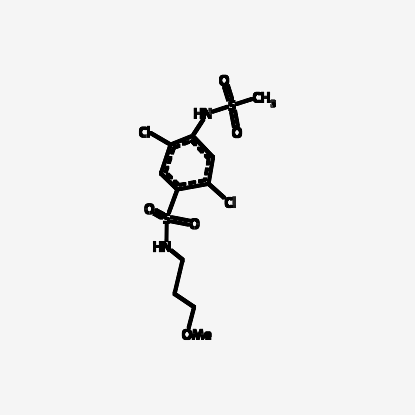 COCCCNS(=O)(=O)c1cc(Cl)c(NS(C)(=O)=O)cc1Cl